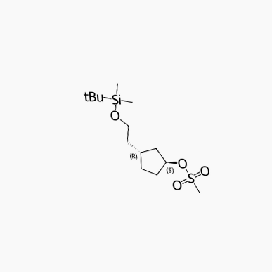 CC(C)(C)[Si](C)(C)OCC[C@H]1CC[C@H](OS(C)(=O)=O)C1